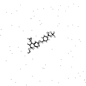 CCOC(=O)C(C)C(c1ccnc(OCC2CCN(C(=O)OC(C)(C)C)CC2)c1)C1CC1